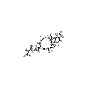 CO[C@]1(C)C[C@@H](C)CN(C)C(C2CN(CC(=O)N(C)C(C)C)C2)COC(=O)C(C)(C)C(=O)[C@H](C)[C@H]1O[C@@H]1O[C@H](C)C[C@H](N(C)C)[C@H]1O